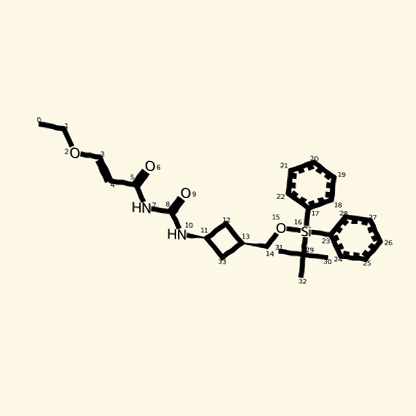 CCOC=CC(=O)NC(=O)N[C@H]1C[C@@H](CO[Si](c2ccccc2)(c2ccccc2)C(C)(C)C)C1